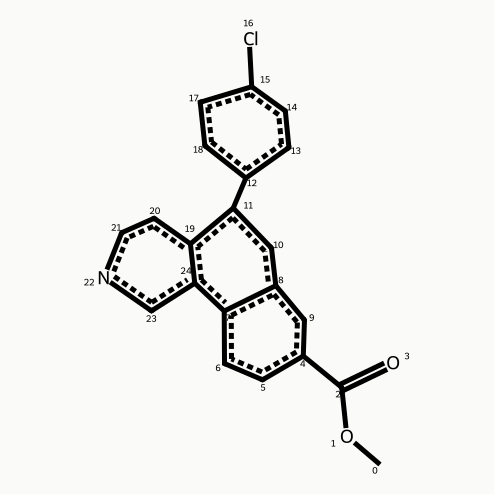 COC(=O)c1ccc2c(c1)cc(-c1ccc(Cl)cc1)c1ccncc12